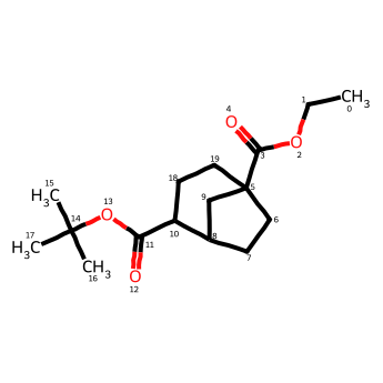 CCOC(=O)C12CCC(C1)C(C(=O)OC(C)(C)C)CC2